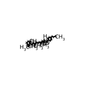 CCCCc1ccc(C(=O)NC(=O)/C=C(C)/C=C/C=C(C)/C=C/C2=C(C)CCCC2(C)C)cc1